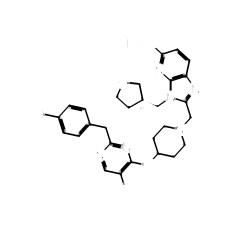 O=C(O)c1ccc2nc(CN3CCC(Oc4nc(Cc5ccc(Cl)cc5)ncc4F)CC3)n(C[C@H]3CCOC3)c2n1